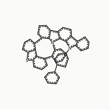 c1ccc(-c2ccc(-n3c4ccccc4c4ccc5c6cccc7c8cccc9sc%10cccc(c%11ccccc%11n(c76)c5c43)c%10c98)cc2)cc1